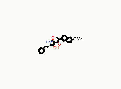 COc1ccc2cc(C(C)C(=O)C3=C(O)[C@H](CCc4ccccc4)NC3=O)ccc2c1